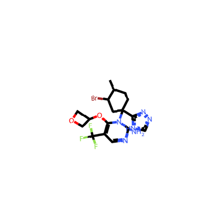 CC1CCC(c2nnc[nH]2)(N2C(OC3COC3)=C(C(F)(F)F)C=NC2N)CC1Br